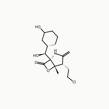 C=C1N[C@@]2([C@@H](O)[C@H]3CCCC(O)C3)C(=O)O[C@@]2(C)[C@H]1CCCl